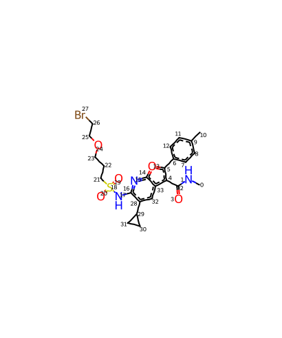 CNC(=O)c1c(-c2ccc(C)cc2)oc2nc(NS(=O)(=O)CCCOCCBr)c(C3CC3)cc12